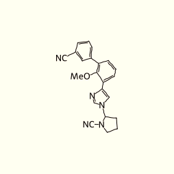 COc1c(-c2cccc(C#N)c2)cccc1-c1cn(C2CCCN2C#N)cn1